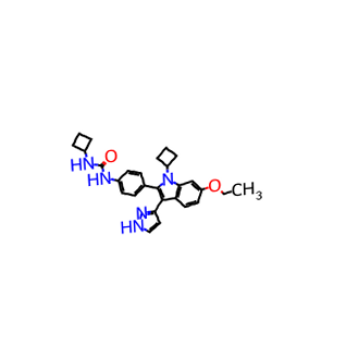 CCOc1ccc2c(-c3cc[nH]n3)c(-c3ccc(NC(=O)NC4CCC4)cc3)n(C3CCC3)c2c1